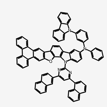 c1ccc(N(c2cccc(-n3c4ccccc4c4ccccc43)c2)c2ccc3c(c2)c2ccc4c5cc6c7ccccc7c7ccccc7c6cc5oc4c2n3-c2nc(-c3ccc4ccccc4c3)cc(-c3cccc4ccccc34)n2)cc1